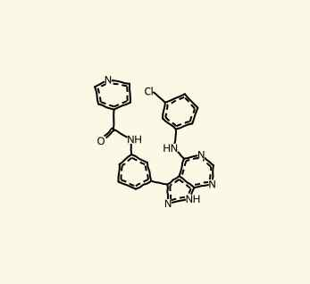 O=C(Nc1cccc(-c2n[nH]c3ncnc(Nc4cccc(Cl)c4)c23)c1)c1ccncc1